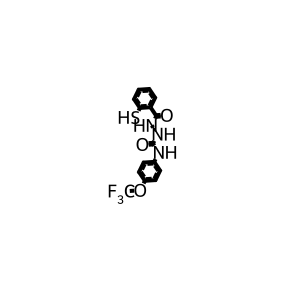 O=C(NNC(=O)c1ccccc1S)Nc1ccc(OC(F)(F)F)cc1